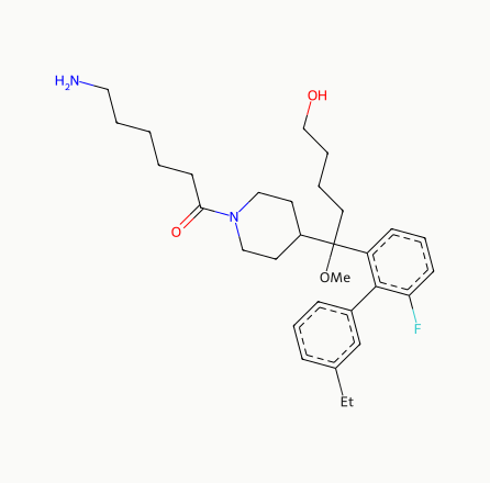 CCc1cccc(-c2c(F)cccc2C(CCCCO)(OC)C2CCN(C(=O)CCCCCN)CC2)c1